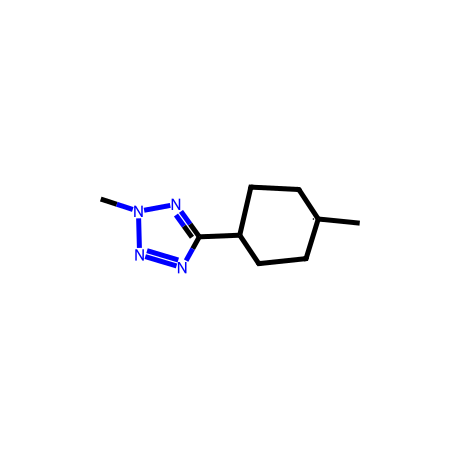 C[C]1CCC(c2nnn(C)n2)CC1